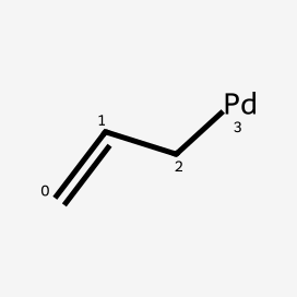 C=C[CH2][Pd]